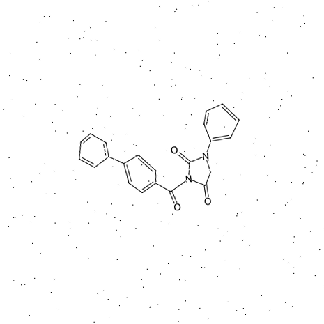 O=C1CN(c2ccccc2)C(=O)N1C(=O)c1ccc(-c2ccccc2)cc1